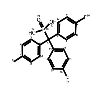 Cc1ccc(C(c2ccc(F)cc2)(c2ccc(F)cc2)P(=O)(O)O)cc1